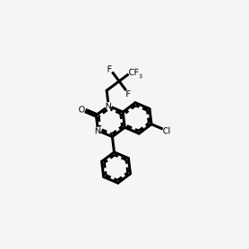 O=c1nc(-c2ccccc2)c2cc(Cl)ccc2n1CC(F)(F)C(F)(F)F